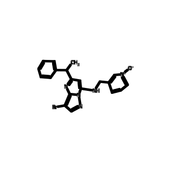 CC(c1ccccc1)c1cc(NCc2ccc[n+]([O-])c2)n2ncc(Br)c2n1